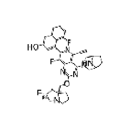 C#Cc1nc(-c2cc(O)cc3cccc(F)c23)c(F)c2nc(OC[C@@]34CCCN3C[C@H](F)C4)nc(N3CC4CCC(C3)N4)c12